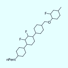 CCCCCC1CCC(C2CCC(C3CCC(COC4CCC(C)CC4F)CC3)C(F)C2F)CC1